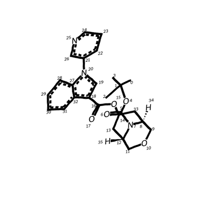 CC(C)(C)OC(=O)N1[C@@H]2COC[C@@H]1CC(OC(=O)c1cn(-c3cccnc3)c3ccccc13)C2